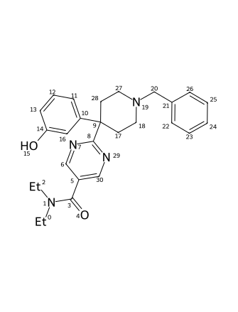 CCN(CC)C(=O)c1cnc(C2(c3cccc(O)c3)CCN(Cc3ccccc3)CC2)nc1